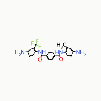 Cc1cc(N)ccc1NC(=O)c1ccc(C(=O)Nc2ccc(N)cc2C(F)(F)F)cc1